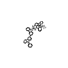 C[Si]1(C)c2ccccc2-c2ccc3nc(-n4c5ccccc5c5cc(-c6ccc7c(c6)c6ccccc6n7-c6ccccc6)ccc54)nc(-c4ccccc4)c3c21